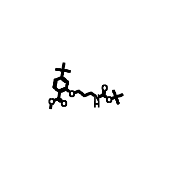 COC(=O)c1ccc(C(C)(C)C)cc1OCCCNC(=O)OC(C)(C)C